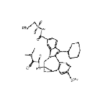 COc1ccc2c(c1)C1CC1(NC(=O)C(=O)N(C)C)Cn1c-2c(C2CCCCC2)c2ccc(C(=O)NS(=O)(=O)CC(C)(C)C)cc21